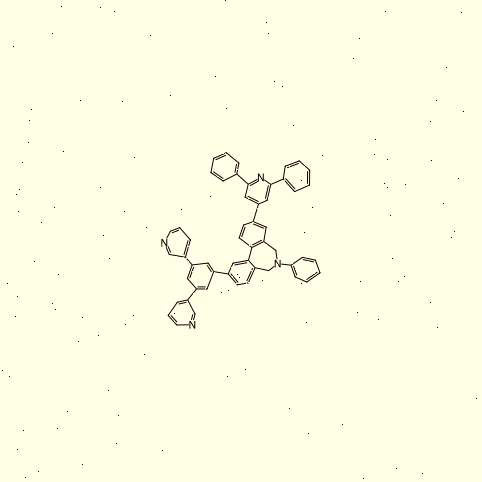 c1ccc(-c2cc(-c3ccc4c(c3)CN(c3ccccc3)Cc3ccc(-c5cc(-c6cccnc6)cc(-c6cccnc6)c5)cc3-4)cc(-c3ccccc3)n2)cc1